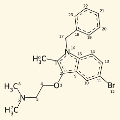 Cc1c(OCCN(C)C)c2cc(Br)ccc2n1Cc1ccccc1